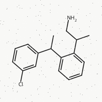 CC(CN)c1ccccc1C(C)c1cccc(Cl)c1